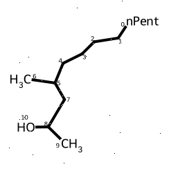 CCCCCCCCCC(C)CC(C)O